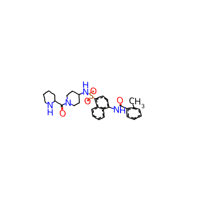 Cc1ccccc1C(=O)Nc1ccc(S(=O)(=O)NC2CCN(C(=O)C3CCCCN3)CC2)c2ccccc12